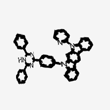 c1ccc(C2=NC(c3ccc(-n4c5ccccc5c5cc6c7ccccc7n(-c7ccccn7)c6cc54)cc3)=NC(c3ccccc3)N2)cc1